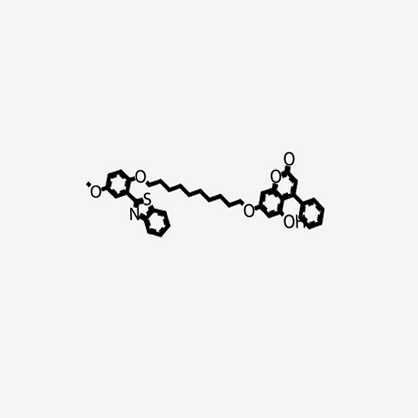 COc1ccc(OCCCCCCCCCCOc2cc(O)c3c(-c4ccccc4)cc(=O)oc3c2)c(-c2nc3ccccc3s2)c1